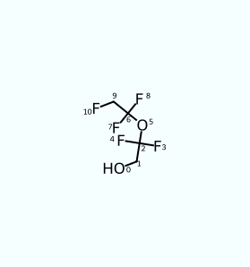 OCC(F)(F)OC(F)(F)CF